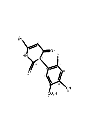 CC(C)c1cc(=O)n(-c2cc(C(=O)O)c(C#N)cc2F)c(=O)[nH]1